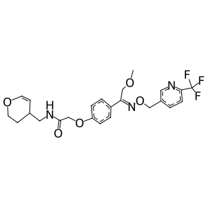 COCC(=NOCc1ccc(C(F)(F)F)nc1)c1ccc(OCC(=O)NCC2C=COCC2)cc1